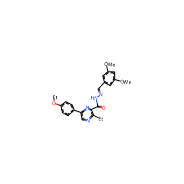 CCOc1ccc(-c2cnc(CC)c(C(=O)N/N=C/c3cc(OC)cc(OC)c3)n2)cc1